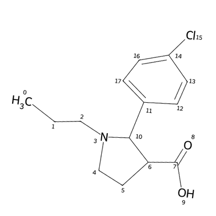 CCCN1CCC(C(=O)O)C1c1ccc(Cl)cc1